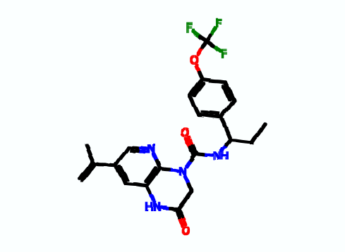 C=C(C)c1cnc2c(c1)NC(=O)CN2C(=O)NC(CC)c1ccc(OC(F)(F)F)cc1